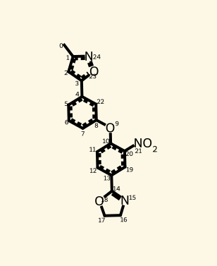 Cc1cc(-c2cccc(Oc3ccc(C4=NCCO4)cc3[N+](=O)[O-])c2)on1